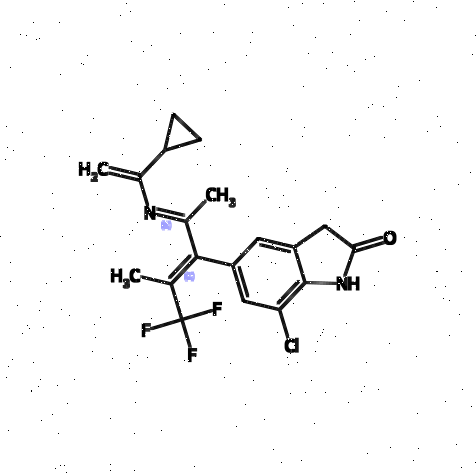 C=C(/N=C(C)/C(=C(\C)C(F)(F)F)c1cc(Cl)c2c(c1)CC(=O)N2)C1CC1